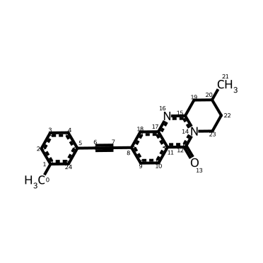 Cc1cccc(C#Cc2ccc3c(=O)n4c(nc3c2)CC(C)CC4)c1